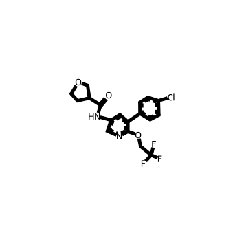 O=C(Nc1cnc(OCC(F)(F)F)c(-c2ccc(Cl)cc2)c1)C1CCOC1